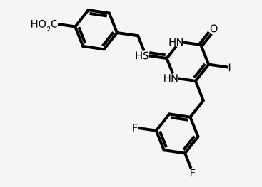 O=C(O)c1ccc(C[SH]=c2[nH]c(Cc3cc(F)cc(F)c3)c(I)c(=O)[nH]2)cc1